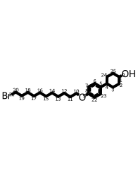 OC1CCC(c2ccc(OCCCCCCCCCCCBr)cc2)CC1